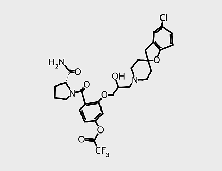 NC(=O)[C@H]1CCCN1C(=O)c1ccc(OC(=O)C(F)(F)F)cc1OCC(O)CN1CCC2(CC1)Cc1cc(Cl)ccc1O2